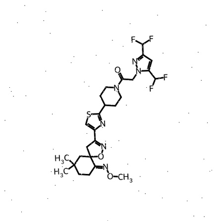 CON=C1CCC(C)(C)CC12CC(c1csc(C3CCN(C(=O)Cn4nc(C(F)F)cc4C(F)F)CC3)n1)=NO2